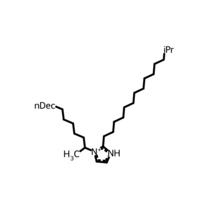 CCCCCCCCCCCCCCCC(C)[n+]1cc[nH]c1CCCCCCCCCCCCC(C)C